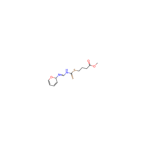 COC(=O)CCCSC(=S)NC=NC1C=CC=CO1